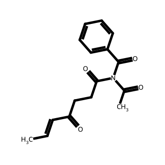 CC=CC(=O)CCC(=O)N(C(C)=O)C(=O)c1ccccc1